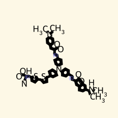 CCC(NC)c1ccc2cc(/C=C/c3ccc(N(c4ccc(/C=C/c5cc6ccc(N(CC)CC)cc6oc5=O)cc4)c4ccc(-c5ccc(-c6ccc(/C=C(\C#N)C(=O)O)s6)s5)cc4)cc3)c(=O)oc2c1